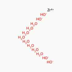 O.O.O.O.O.O.O.O.[OH-].[OH-].[OH-].[OH-].[Zr+4]